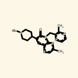 Cc1cnc2cc(C3CCN(C(C)(C)C)CC3)c(=O)n(Cc3nccnc3C)c2n1